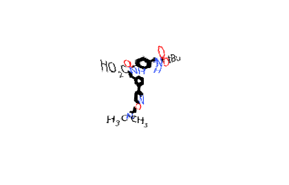 CN(C)CCCOc1ccc(-c2cccc(C[C@H](NC(=O)[C@H]3CC[C@H](CNC(=O)OC(C)(C)C)CC3)C(=O)O)c2)cn1